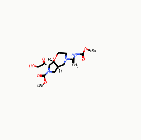 C=C(NC(=O)OC(C)(C)C)N1CCO[C@@H]2[C@@H](C1)CN(C(=O)OC(C)(C)C)[C@@H]2C(=O)CO